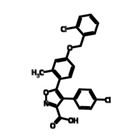 Cc1cc(OCc2ccccc2Cl)ccc1-c1onc(C(=O)O)c1-c1ccc(Cl)cc1